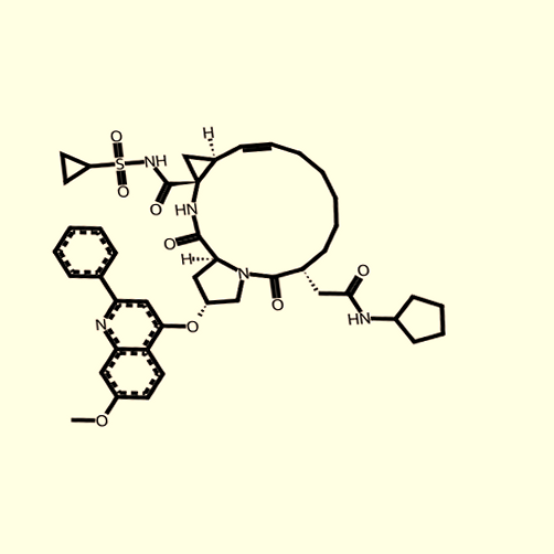 COc1ccc2c(O[C@@H]3C[C@H]4C(=O)N[C@]5(C(=O)NS(=O)(=O)C6CC6)C[C@H]5C=CCCCCC[C@H](CC(=O)NC5CCCC5)C(=O)N4C3)cc(-c3ccccc3)nc2c1